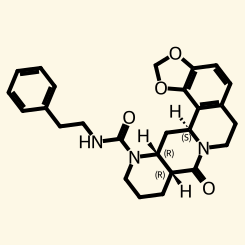 O=C(NCCc1ccccc1)N1CCC[C@H]2C(=O)N3CCc4ccc5c(c4[C@@H]3C[C@H]21)OCO5